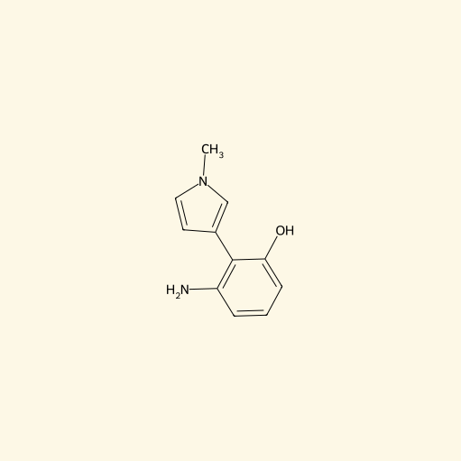 Cn1ccc(-c2c(N)cccc2O)c1